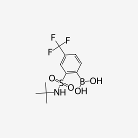 CC(C)(C)NS(=O)(=O)c1cc(C(F)(F)F)ccc1B(O)O